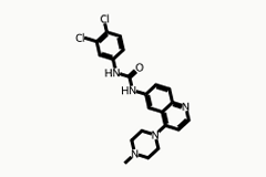 CN1CCN(c2ccnc3ccc(NC(=O)Nc4ccc(Cl)c(Cl)c4)cc23)CC1